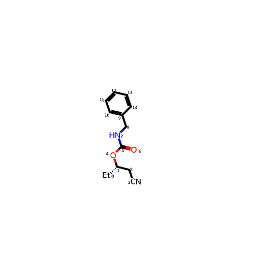 CC[C@@H](CC#N)OC(=O)NCc1ccccc1